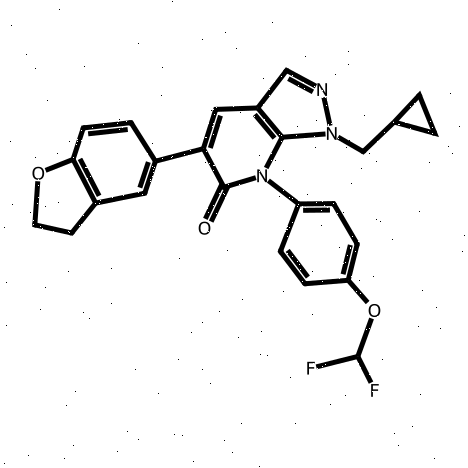 O=c1c(-c2ccc3c(c2)CCO3)cc2cnn(CC3CC3)c2n1-c1ccc(OC(F)F)cc1